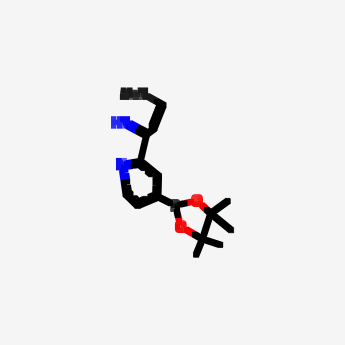 CN/C=C\C(=N)c1cc(B2OC(C)(C)C(C)(C)O2)ccn1